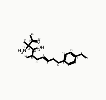 CCc1ccc(CC/C=C/CC(C)C(O)C(C)(N)C(C)=O)cc1